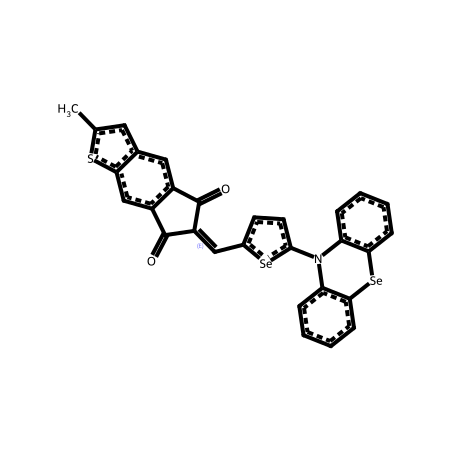 Cc1cc2cc3c(cc2s1)C(=O)/C(=C/c1ccc(N2c4ccccc4[Se]c4ccccc42)[se]1)C3=O